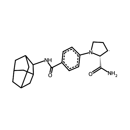 NC(=O)[C@H]1[CH]CCN1c1ccc(C(=O)NC2C3CC4CC(C3)CC2C4)cc1